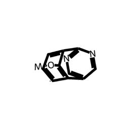 COc1c2[c]ccc1-c1ncc-2cn1